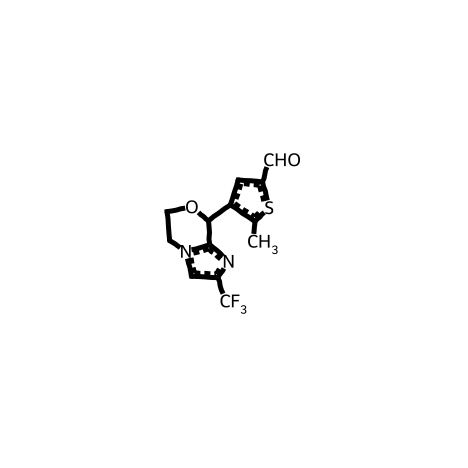 Cc1sc(C=O)cc1C1OCCn2cc(C(F)(F)F)nc21